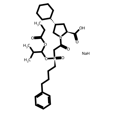 CCC(=O)OC(O[P@](=O)(CCCCc1ccccc1)CC(=O)N1C[C@H](C2CCCCC2)C[C@H]1C(=O)O)C(C)C.[NaH]